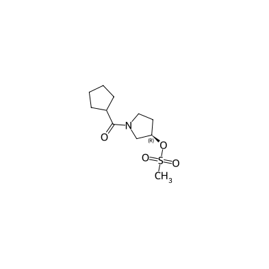 CS(=O)(=O)O[C@@H]1CCN(C(=O)C2CCCC2)C1